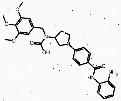 COc1cc(CN(C(=O)O)C2CCN(c3ccc(C(=O)Nc4ccccc4N)cc3)C2)cc(OC)c1OC